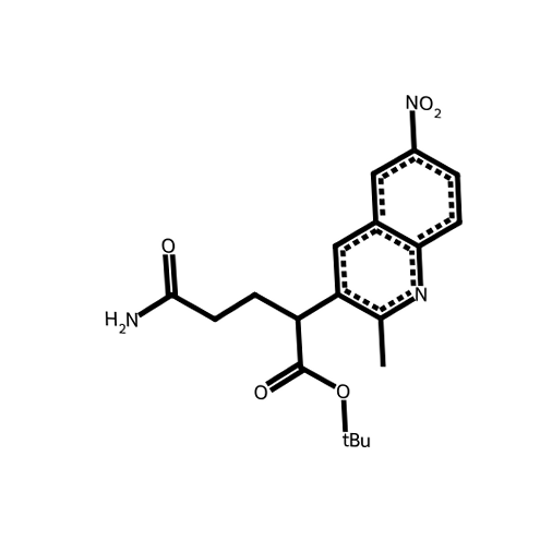 Cc1nc2ccc([N+](=O)[O-])cc2cc1C(CCC(N)=O)C(=O)OC(C)(C)C